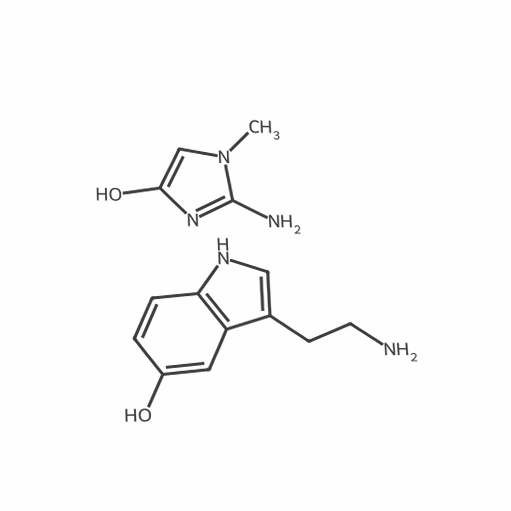 Cn1cc(O)nc1N.NCCc1c[nH]c2ccc(O)cc12